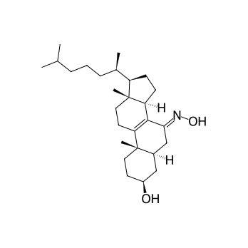 CC(C)CCC[C@@H](C)[C@H]1CC[C@H]2C3=C(CC[C@]12C)[C@@]1(C)CC[C@H](O)C[C@@H]1CC3=NO